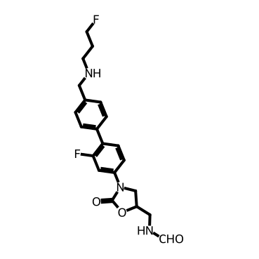 O=CNCC1CN(c2ccc(-c3ccc(CNCCCF)cc3)c(F)c2)C(=O)O1